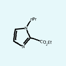 CCCn1ccnc1C(=O)OCC